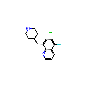 Cl.Fc1ccc(CC2CCNCC2)c2ncccc12